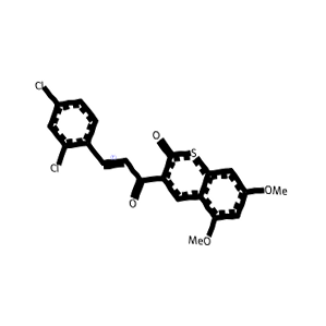 COc1cc(OC)c2cc(C(=O)/C=C/c3ccc(Cl)cc3Cl)c(=O)sc2c1